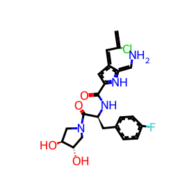 C=C(Cl)/C=c1/cc(C(=O)N[C@@H](Cc2ccc(F)cc2)C(=O)N2C[C@H](O)[C@@H](O)C2)[nH]/c1=C/N